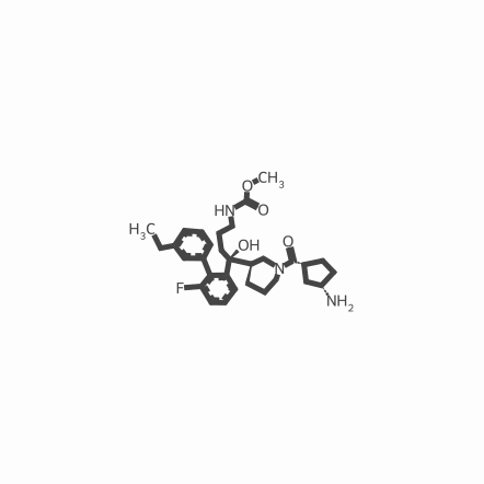 CCc1cccc(-c2c(F)cccc2[C@](O)(CCCNC(=O)OC)[C@@H]2CCCN(C(=O)[C@@H]3CC[C@H](N)C3)C2)c1